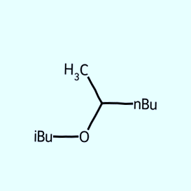 [CH2]CCCC(C)OC(C)CC